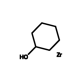 OC1CCCCC1.[Zr]